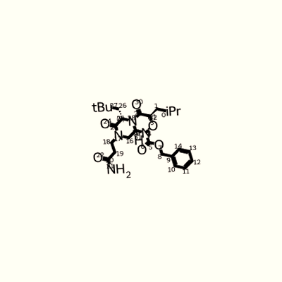 CC(C)C[C@H]1ON(C(=O)OCc2ccccc2)[C@H]2CN(CCC(N)=O)C(=O)[C@H](CC(C)(C)C)N2C1=O